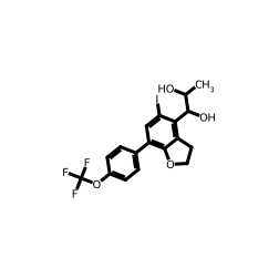 CC(O)C(O)c1c(I)cc(-c2ccc(OC(F)(F)F)cc2)c2c1CCO2